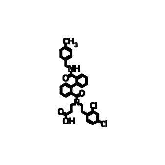 Cc1ccc(CNC(=O)c2ccccc2-c2ccccc2C(=O)N(CCC(=O)O)CCc2ccc(Cl)cc2Cl)cc1